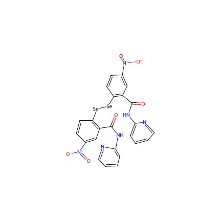 O=C(Nc1ccccn1)c1cc([N+](=O)[O-])ccc1[Se][Se]c1ccc([N+](=O)[O-])cc1C(=O)Nc1ccccn1